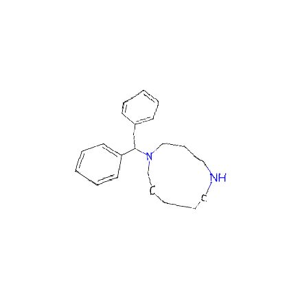 c1ccc(C(c2ccccc2)N2CCCCCNCCC2)cc1